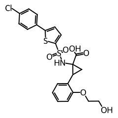 O=C(O)C1(NS(=O)(=O)c2ccc(-c3ccc(Cl)cc3)s2)CC1c1ccccc1OCCO